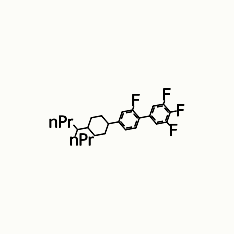 CCCC(CCC)C1CCC(c2ccc(-c3cc(F)c(F)c(F)c3)c(F)c2)CC1